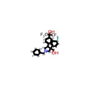 OCC1(c2ccc(F)cc2)CN(Cc2ccccc2)CC1c1ccc(C(O)(C(F)(F)F)C(F)(F)F)cc1